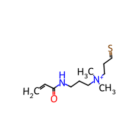 C=CC(=O)NCCC[N+](C)(C)CCC=S